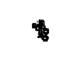 COC1O[C@@]2(CO[Si](c3ccccc3)(c3ccccc3)C(C)(C)C)CC(=O)[C@@H]1[C@@H]2OC